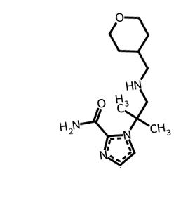 CC(C)(CNCC1CCOCC1)n1c[c]nc1C(N)=O